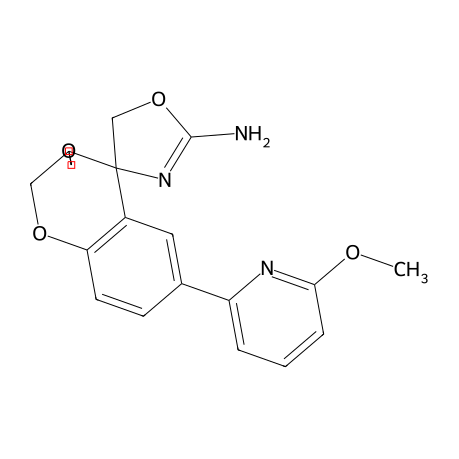 COc1cccc(-c2ccc3c(c2)C2(COC(N)=N2)C2(COC2)CO3)n1